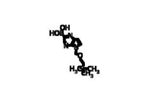 C[Si](C)(C)CCOCn1ccc2nc(B(O)O)cnc21